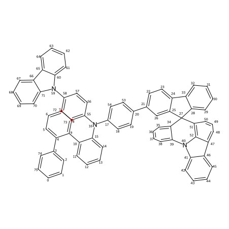 c1ccc(-c2ccccc2-c2ccccc2N(c2ccc(-c3ccc4c(c3)C3(c5ccccc5-4)c4ccccc4-n4c5ccccc5c5cccc3c54)cc2)c2ccc(-n3c4ccccc4c4ccccc43)cc2)cc1